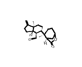 C=C1CC[C@H]2[C@H](C=O)[C@@H]([C@@]3(C)CCC4C[C@H]3C(=O)O4)CC[C@]12C